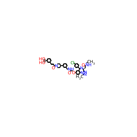 CCNC(=O)C[C@@H]1N=C(c2ccc(Cl)cc2)c2cc(OCC(=O)NCc3cccc(C4CCN(C(=O)/C=C/c5cccc(B(O)O)c5)CC4)c3)ccc2-n2c(C)nnc21